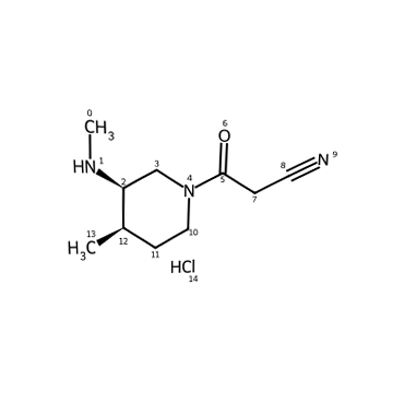 CN[C@H]1CN(C(=O)CC#N)CC[C@H]1C.Cl